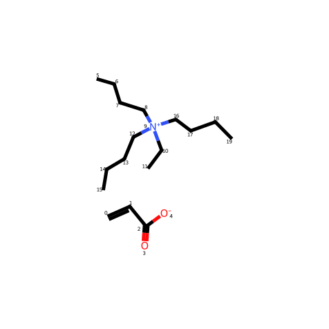 C=CC(=O)[O-].CCCC[N+](CC)(CCCC)CCCC